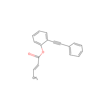 CC=CC(=O)Oc1ccccc1C#Cc1ccccc1